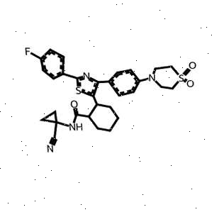 N#CC1(NC(=O)C2CCCCC2c2sc(-c3ccc(F)cc3)nc2-c2ccc(N3CCS(=O)(=O)CC3)cc2)CC1